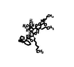 C=CCNC(=O)C(=O)[C@H](CCC)NC(=O)[C@@H]1[C@@H]2[C@H](CN1C(=O)[C@H](CCCCCCC)NC(=O)NC1([C@H]3CCCS3(=O)=O)CCCCC1)C2(C)C